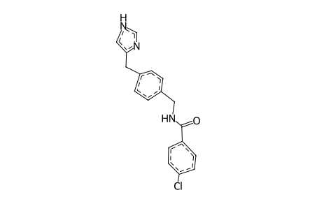 O=C(NCc1ccc(Cc2c[nH]cn2)cc1)c1ccc(Cl)cc1